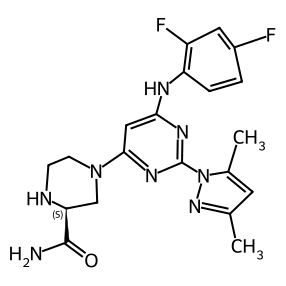 Cc1cc(C)n(-c2nc(Nc3ccc(F)cc3F)cc(N3CCN[C@H](C(N)=O)C3)n2)n1